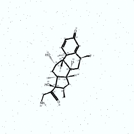 C[C@@H]1C[C@H]2[C@@H]3C[C@H](F)C4=CC(=O)C=C[C@]4(C)[C@@]3(F)[C@@H](O)C[C@]2(C)[C@@]1(O)C(=O)CN